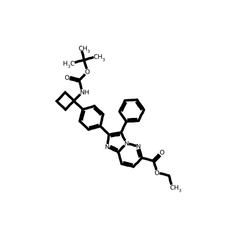 CCOC(=O)c1ccc2nc(-c3ccc(C4(NC(=O)OC(C)(C)C)CCC4)cc3)c(-c3ccccc3)n2n1